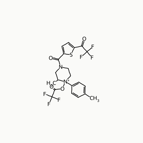 Cc1ccc([N+]2(OC(=O)C(F)(F)F)CCN(C(=O)c3ccc(C(=O)C(F)(F)F)s3)CC2C)cc1